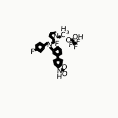 CCN1CCCC1CN(Cc1ccc(F)cc1)Cc1cc(-c2ccc3[nH]c(=O)oc3c2)ccc1F.O=C(O)C(F)(F)F